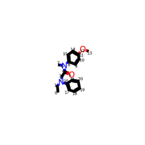 CCN(CC(=O)N(C)c1ccc(OC)cc1)c1ccccc1